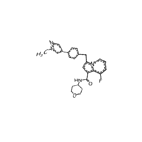 Cn1cc(-c2ccc(Cc3cc(C(=O)NC4CCOCC4)c4c(F)cccn34)cc2)cn1